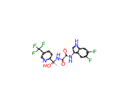 C[C@@](O)(NC(=O)C(=O)Nc1c[nH]c2cc(F)c(F)cc12)c1ccc(C(F)(F)F)cn1